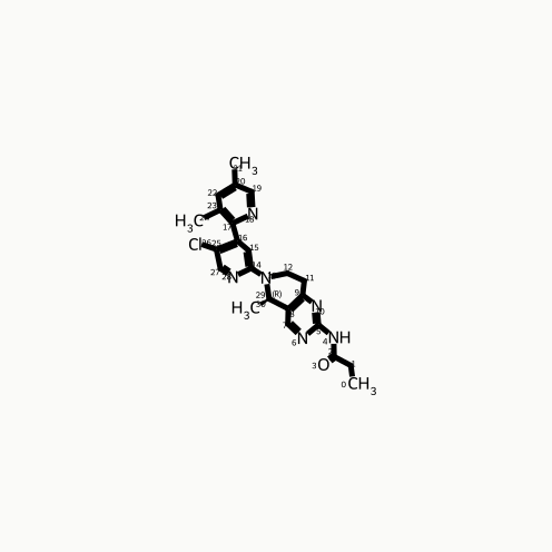 CCC(=O)Nc1ncc2c(n1)CCN(c1cc(-c3ncc(C)cc3C)c(Cl)cn1)[C@@H]2C